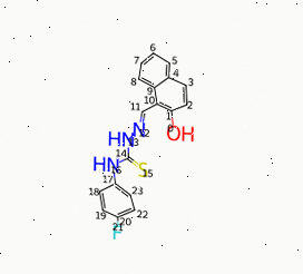 Oc1ccc2ccccc2c1C=NNC(=S)Nc1ccc(F)cc1